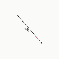 CCCCCCCC/C=C/CCCCCCCCCCC(CCCCCCCC/C=C/CCCCCCCC)C(=O)O